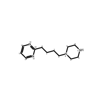 [CH](CCCN1CCNCC1)c1ncccn1